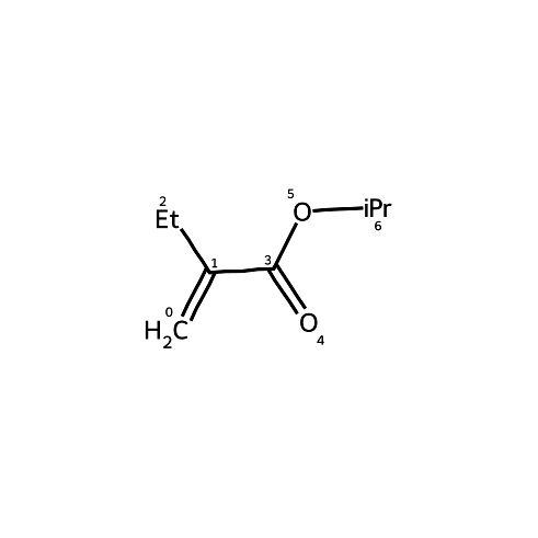 C=C(CC)C(=O)OC(C)C